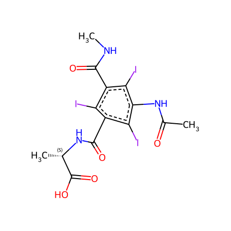 CNC(=O)c1c(I)c(NC(C)=O)c(I)c(C(=O)N[C@@H](C)C(=O)O)c1I